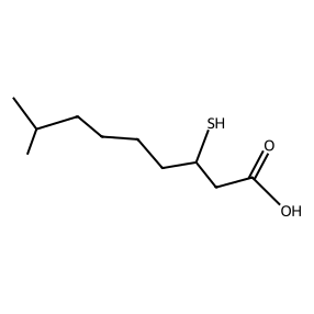 CC(C)CCCCC(S)CC(=O)O